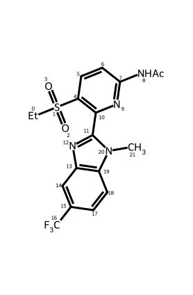 CCS(=O)(=O)c1ccc(NC(C)=O)nc1-c1nc2cc(C(F)(F)F)ccc2n1C